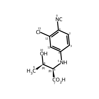 [C-]#[N+]c1ccc(N[C@@H](C(=O)O)[C@@H](C)O)cc1Cl